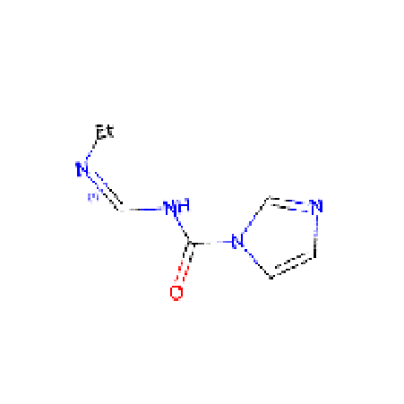 CC/N=C\NC(=O)n1ccnc1